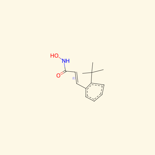 CC(C)(C)c1ccccc1/C=C/C(=O)NO